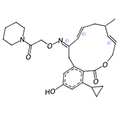 CC1/C=C/COC(=O)c2c(cc(O)cc2C2CC2)CC(=N\OCC(=O)N2CCCCC2)/C=C/C1